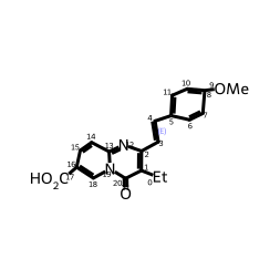 CCc1c(/C=C/c2ccc(OC)cc2)nc2ccc(C(=O)O)cn2c1=O